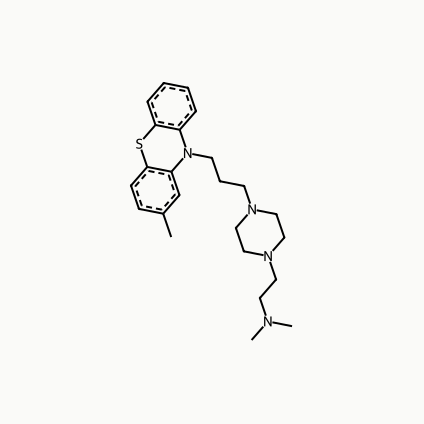 Cc1ccc2c(c1)N(CCCN1CCN(CCN(C)C)CC1)c1ccccc1S2